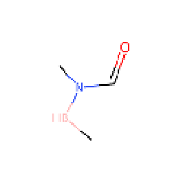 CBN(C)C=O